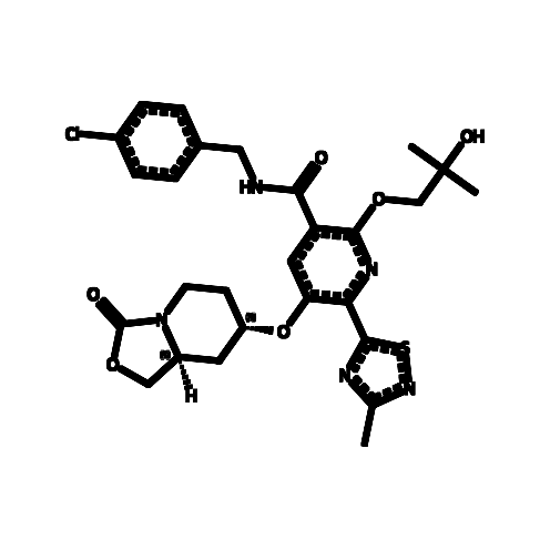 Cc1nsc(-c2nc(OCC(C)(C)O)c(C(=O)NCc3ccc(Cl)cc3)cc2O[C@H]2CCN3C(=O)OC[C@@H]3C2)n1